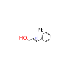 OC/C=C/c1ccccc1.[Pt]